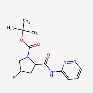 CC(C)(C)OC(=O)N1CC(F)CC1C(=O)Nc1cccnn1